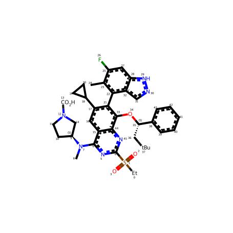 CCS(=O)(=O)c1nc(N(C)[C@H]2CCN(C(=O)O)C2)c2cc(C3CC3)c(-c3c(C)c(F)cc4[nH]ncc34)c(O[C@@H](CC(C)(C)C)c3ccccc3)c2n1